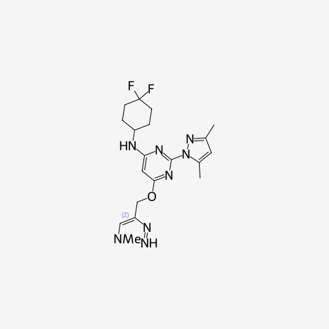 CN/C=C(/COc1cc(NC2CCC(F)(F)CC2)nc(-n2nc(C)cc2C)n1)N=N